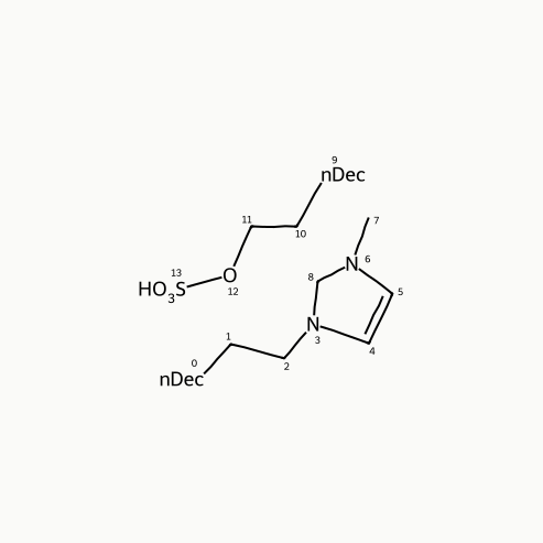 CCCCCCCCCCCCN1C=CN(C)C1.CCCCCCCCCCCCOS(=O)(=O)O